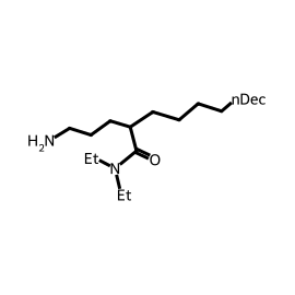 CCCCCCCCCCCCCCC(CCCN)C(=O)N(CC)CC